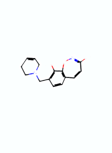 OC1=NOc2c(ccc(CN3CC=CCC3)c2O)C=C1